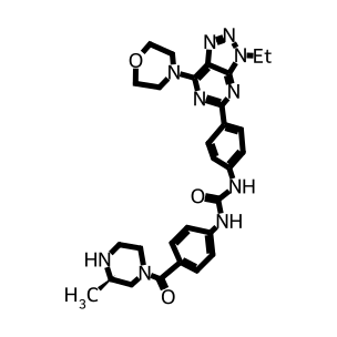 CCn1nnc2c(N3CCOCC3)nc(-c3ccc(NC(=O)Nc4ccc(C(=O)N5CCN[C@H](C)C5)cc4)cc3)nc21